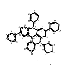 C1=CCC(N2C3=CC(C4=CCCC=C4)CC4=C3B(c3ccccc3N4C3=CCCC=C3)c3cc(-c4ccccc4)ccc32)C=C1